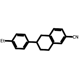 CCc1ccc(C2CCc3cc(C#N)ccc3C2)cc1